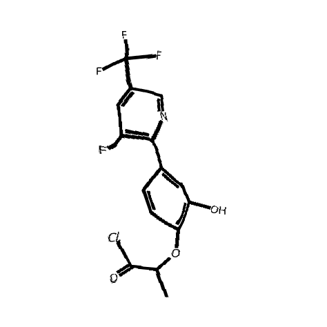 CC(Oc1ccc(-c2ncc(C(F)(F)F)cc2F)cc1O)C(=O)Cl